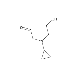 O=CCN(CCO)C1CC1